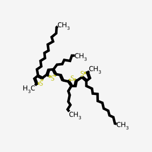 CCCCCCCCCCCCc1cc(C)sc1-c1cc(CCCCCC)c(/C=C/c2sc(-c3sc(C)cc3CCCCCCCCCCCC)cc2CCCCCC)s1